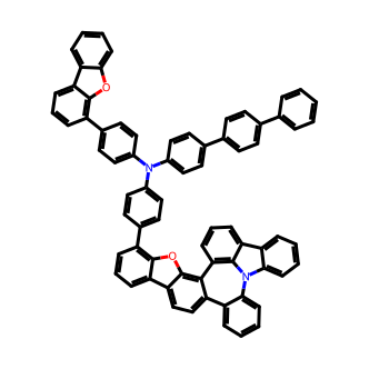 c1ccc(-c2ccc(-c3ccc(N(c4ccc(-c5cccc6c5oc5ccccc56)cc4)c4ccc(-c5cccc6c5oc5c7c(ccc56)-c5ccccc5-n5c6ccccc6c6cccc-7c65)cc4)cc3)cc2)cc1